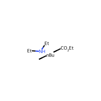 CCCCC.CCNCC.CCOC(C)=O